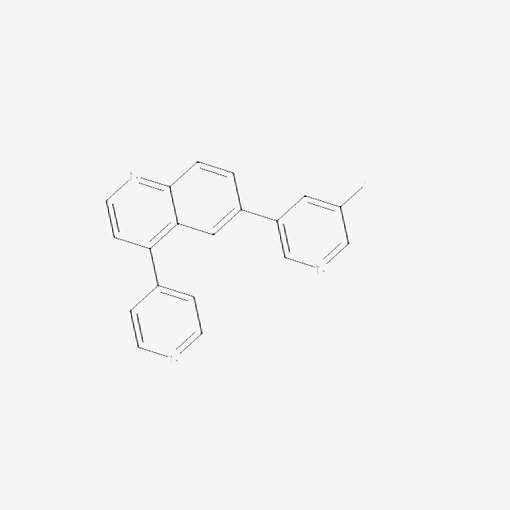 Cc1cncc(-c2ccc3nccc(-c4ccncc4)c3c2)c1